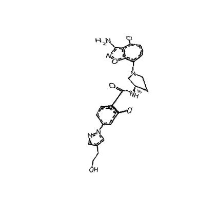 Nc1noc2c(N3CC[C@@H](NC(=O)c4ccc(-n5cc(CCO)cn5)cc4Cl)C3)ccc(Cl)c12